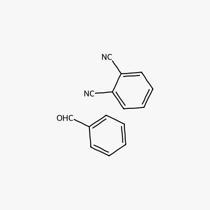 N#Cc1ccccc1C#N.O=Cc1ccccc1